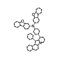 c1ccc(-c2c3c4ccccc4ccc3n3cccc(-c4ccc(N(c5ccc6c(c5)oc5ccccc56)c5ccc6c(c5)oc5ccccc56)cc4)c23)cc1